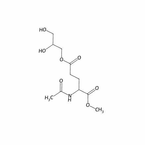 COC(=O)C(CCC(=O)OCC(O)CO)NC(C)=O